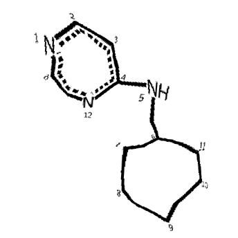 [c]1nccc(NC2CCCCC2)n1